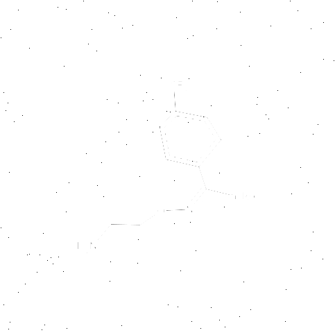 CCCCCC/C(=N/OCCN)c1ccc(C(F)(F)F)cc1